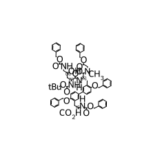 CN(CC(=O)OCc1ccccc1)C(=O)[C@H](Cc1cc(-c2ccc(OCc3ccccc3)c(C[C@H](NC(=O)OCc3ccccc3)C(=O)O)c2)ccc1OCc1ccccc1)NC(=O)[C@H](C[C@@H](O)CNC(=O)OCc1ccccc1)NC(=O)OC(C)(C)C